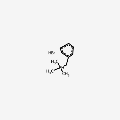 Br.C[PH](C)(C)Cc1ccccc1